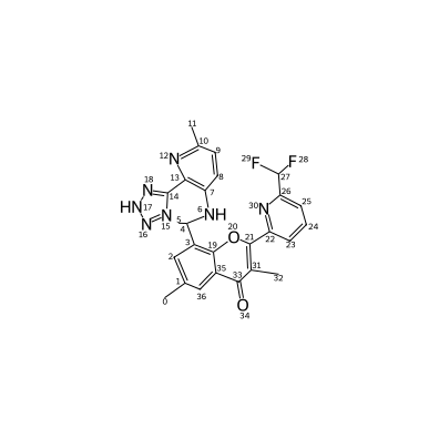 Cc1cc(C(C)Nc2ccc(C)nc2-c2nn[nH]n2)c2oc(-c3cccc(C(F)F)n3)c(C)c(=O)c2c1